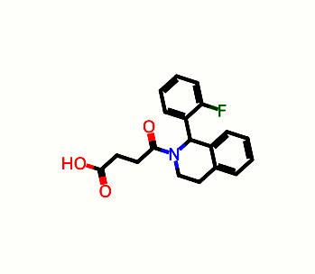 O=C(O)CCC(=O)N1CCc2ccccc2C1c1ccccc1F